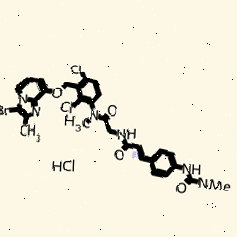 CNC(=O)Nc1ccc(/C=C/C(=O)NCC(=O)N(C)c2ccc(Cl)c(COc3cccn4c(Br)c(C)nc34)c2Cl)cc1.Cl